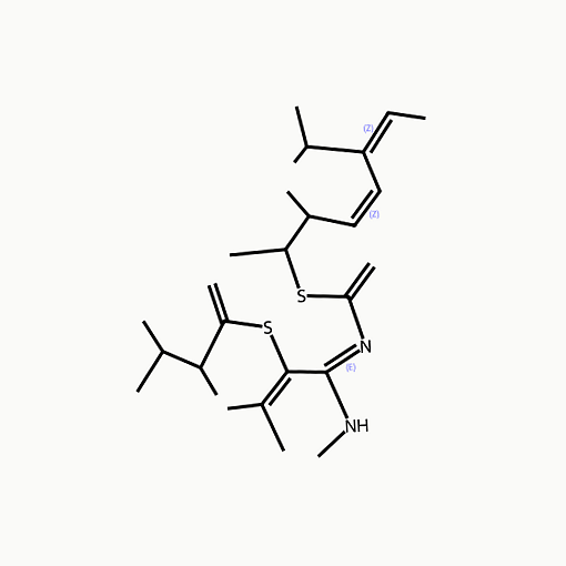 C=C(/N=C(/NC)C(SC(=C)C(C)C(C)C)=C(C)C)SC(C)C(C)/C=C\C(=C/C)C(C)C